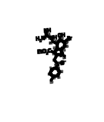 CCOC(=O)c1c(C[S+]([O-])c2ccc(C)cc2)n(C)c2cc(Br)c(O)c(CNC(=N)N)c12